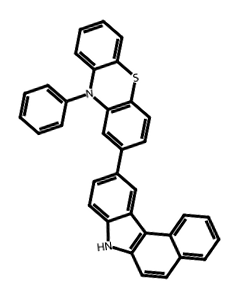 c1ccc(N2c3ccccc3Sc3ccc(-c4ccc5[nH]c6ccc7ccccc7c6c5c4)cc32)cc1